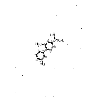 Cc1nc(N(C)N)nnc1-c1cccc(Cl)c1